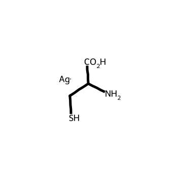 NC(CS)C(=O)O.[Ag]